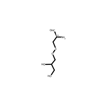 N[C@H](C=O)CSOCC(O)CO